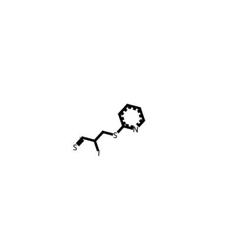 S=[C]C(I)CSc1ccccn1